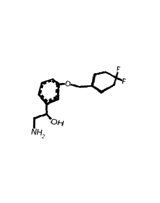 NCC(O)c1cccc(OCC2CCC(F)(F)CC2)c1